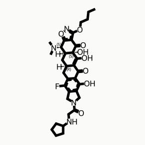 CCCCOc1noc2c1C(=O)[C@@]1(O)C(O)=C3C(=O)c4c(O)c5c(c(F)c4C[C@H]3C[C@H]1[C@@H]2N(C)C)CN(C(=O)CNC1CCCC1)C5